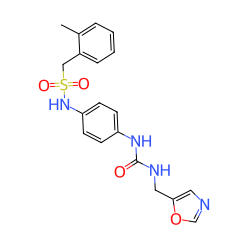 Cc1ccccc1CS(=O)(=O)Nc1ccc(NC(=O)NCc2cnco2)cc1